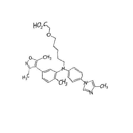 Cc1cn(-c2ccc(N(CCCCCOCC(=O)O)c3cc(-c4c(C)noc4C)ccc3C)cc2)cn1